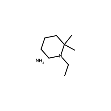 CCN1CCCCC1(C)C.N